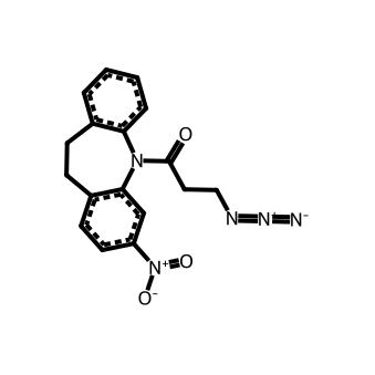 [N-]=[N+]=NCCC(=O)N1c2ccccc2CCc2ccc([N+](=O)[O-])cc21